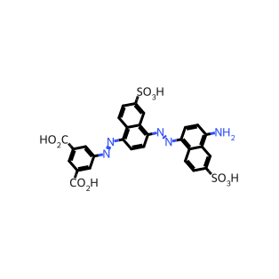 Nc1ccc(N=Nc2ccc(N=Nc3cc(C(=O)O)cc(C(=O)O)c3)c3ccc(S(=O)(=O)O)cc23)c2ccc(S(=O)(=O)O)cc12